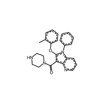 Cc1ccccc1Oc1c(C(=O)N2CCNCC2)c2ncccc2n1-c1ccccc1